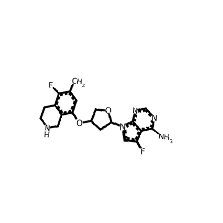 Cc1cc(OC2COC(n3cc(F)c4c(N)ncnc43)C2)c2c(c1F)CCNC2